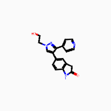 O=C1Cc2cc(-c3cn(CCO)nc3-c3ccncc3)ccc2N1